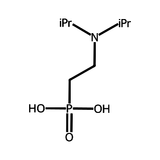 CC(C)N(CCP(=O)(O)O)C(C)C